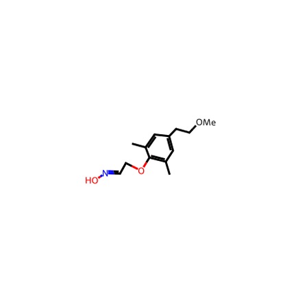 COCCc1cc(C)c(OCC=NO)c(C)c1